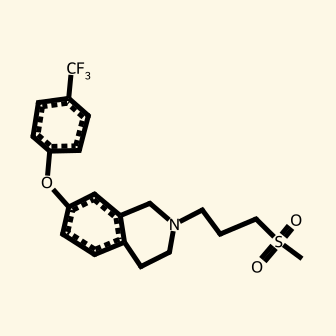 CS(=O)(=O)CCCN1CCc2ccc(Oc3ccc(C(F)(F)F)cc3)cc2C1